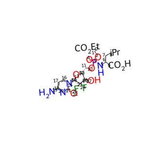 CCOC(=O)COP(=O)(NC(CC(C)C)C(=O)O)OC[C@H]1O[C@@H](n2ccc(N)nc2=O)C(F)(F)[C@@H]1O